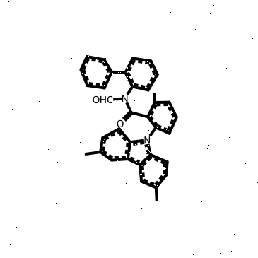 Cc1ccc2c(c1)c1cc(C)ccc1n2-c1cccc(C)c1C(=O)N(C=O)c1ccccc1-c1ccccc1